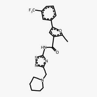 Cc1oc(-c2cccc(C(F)(F)F)c2)cc1C(=O)Nc1nc(CN2CCCCC2)ns1